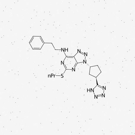 CCCSc1nc(NCCc2ccccc2)c2nnn([C@@H]3CC[C@@H](c4nnn[nH]4)C3)c2n1